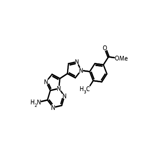 COC(=O)c1ccc(C)c(-n2cc(-c3cnc4c(N)ncnn34)cn2)c1